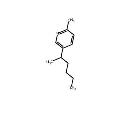 Cc1ccc(C(C)CCCC(F)(F)F)cn1